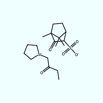 CC12CCC(C(S(=O)(=O)[O-])C1=O)C2(C)C.CCC(=O)C[S+]1CCCC1